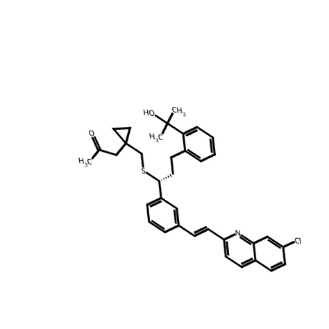 CC(=O)CC1(CS[C@H](CCc2ccccc2C(C)(C)O)c2cccc(/C=C/c3ccc4ccc(Cl)cc4n3)c2)CC1